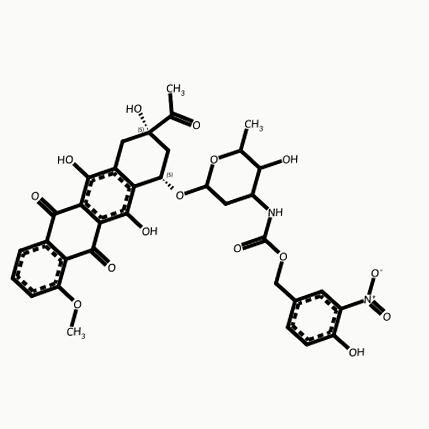 COc1cccc2c1C(=O)c1c(O)c3c(c(O)c1C2=O)C[C@@](O)(C(C)=O)C[C@@H]3OC1CC(NC(=O)OCc2ccc(O)c([N+](=O)[O-])c2)C(O)C(C)O1